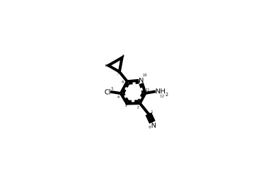 N#Cc1cc(Cl)c(C2CC2)nc1N